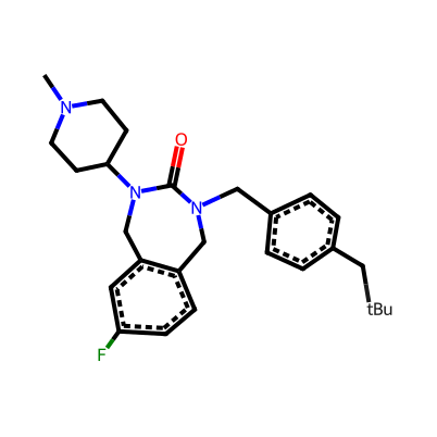 CN1CCC(N2Cc3cc(F)ccc3CN(Cc3ccc(CC(C)(C)C)cc3)C2=O)CC1